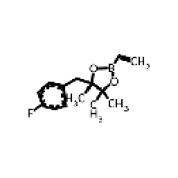 C=CB1OC(C)(C)C(C)(Cc2ccc(F)cc2)O1